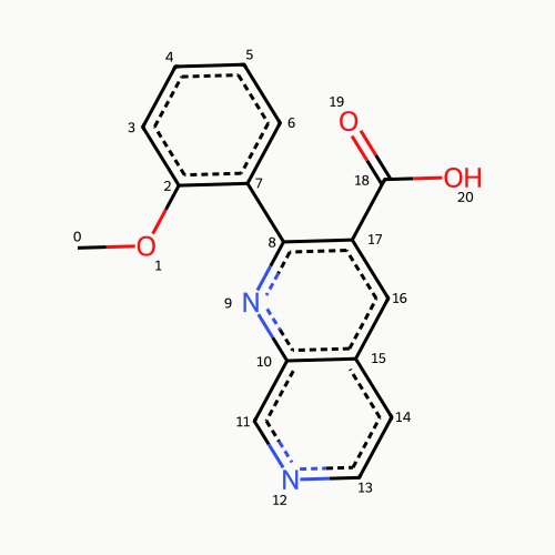 COc1ccccc1-c1nc2cnccc2cc1C(=O)O